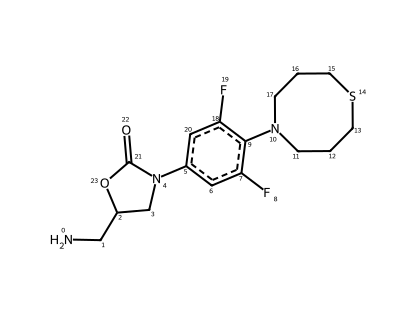 NCC1CN(c2cc(F)c(N3CCCSCCC3)c(F)c2)C(=O)O1